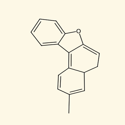 CC1=CC2CC=c3oc4ccccc4c3=C2C=C1